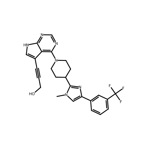 Cn1cc(-c2cccc(C(F)(F)F)c2)nc1C1CCN(c2ncnc3[nH]cc(C#CCO)c23)CC1